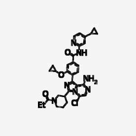 CCC(=O)N1CCCC(c2nc(-c3ccc(C(=O)Nc4cc(C5CC5)ccn4)cc3OC3CC3)c3c(N)ncc(Cl)n23)C1